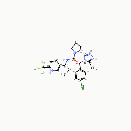 CC[C@@H](NC(=O)N1CCC[C@@H]1c1nnc(C)n1Cc1ccc(Cl)cc1)c1ccc(C(F)(F)F)nc1